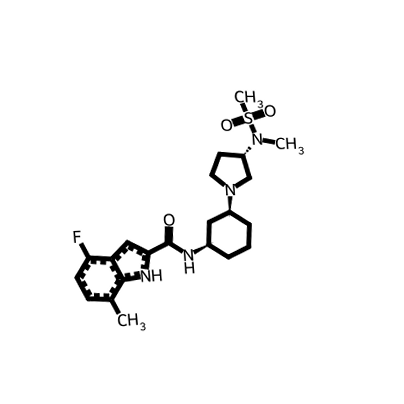 Cc1ccc(F)c2cc(C(=O)N[C@@H]3CCC[C@H](N4CC[C@H](N(C)S(C)(=O)=O)C4)C3)[nH]c12